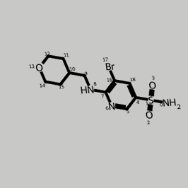 NS(=O)(=O)c1cnc(NCC2CCOCC2)c(Br)c1